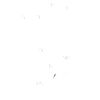 C[C@H](c1ccc(Cl)cc1Cl)n1cnc2ccc(N3CCN(C(=O)[C@H]4CCCN4)[C@@H](N)C3)cc21